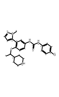 CC(Oc1ccc(NC(=O)Nc2ccc(Cl)cc2)cc1-c1ccnn1C)C1CCNCC1